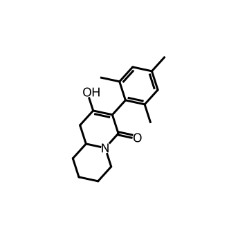 Cc1cc(C)c(C2=C(O)CC3CCCCN3C2=O)c(C)c1